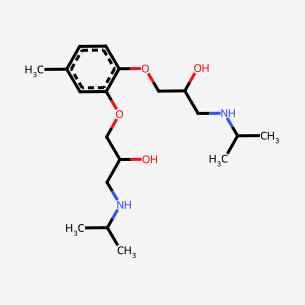 Cc1ccc(OCC(O)CNC(C)C)c(OCC(O)CNC(C)C)c1